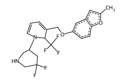 Cc1cc2cc(OCC3=CC=CN(C4CNCC(F)(F)C4)C3C(F)(F)F)ccc2o1